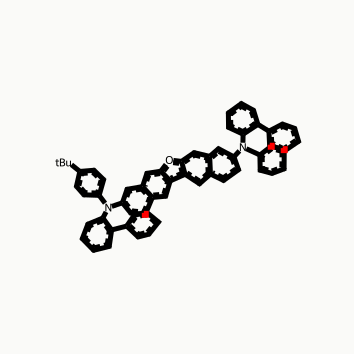 CC(C)(C)c1ccc(N(c2ccc3cc4c(cc3c2)oc2cc3cc(N(c5ccccc5)c5ccccc5-c5ccccc5)ccc3cc24)c2ccccc2-c2ccccc2)cc1